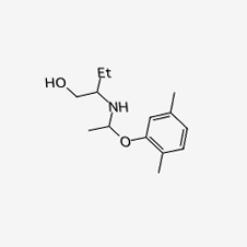 CCC(CO)NC(C)Oc1cc(C)ccc1C